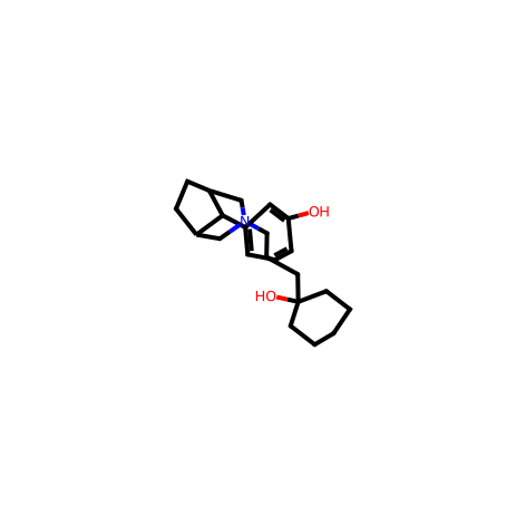 Oc1cccc(C2C3CCC2CN(CCCC2(O)CCCCC2)C3)c1